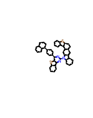 c1ccc2c(-c3ccc(-c4nc(-n5c6ccccc6c6cc7ccc8sc9ccccc9c8c7cc65)nc5c4sc4ccccc45)cc3)cccc2c1